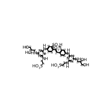 O=S(=O)(O)CCNc1nc(NCC(O)CO)nc(Nc2ccc(C=Cc3ccc(Nc4nc(NCCS(=O)(=O)O)nc(NCC(O)CO)n4)cc3S(=O)(=O)O)c(S(=O)(=O)O)c2)n1